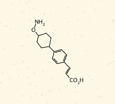 NOC1CCC(c2ccc(C=CC(=O)O)cc2)CC1